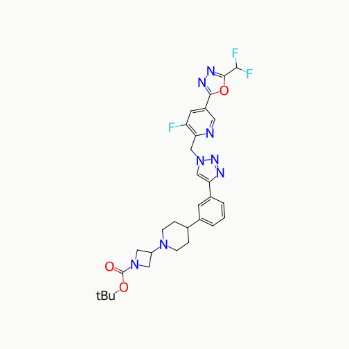 CC(C)(C)OC(=O)N1CC(N2CCC(c3cccc(-c4cn(Cc5ncc(-c6nnc(C(F)F)o6)cc5F)nn4)c3)CC2)C1